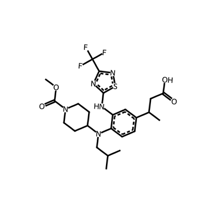 COC(=O)N1CCC(N(CC(C)C)c2ccc(C(C)CC(=O)O)cc2Nc2nc(C(F)(F)F)ns2)CC1